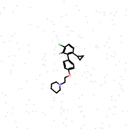 Fc1ccc(C2CC2)c(-c2ccc(OCCN3CCCCC3)cc2)c1F